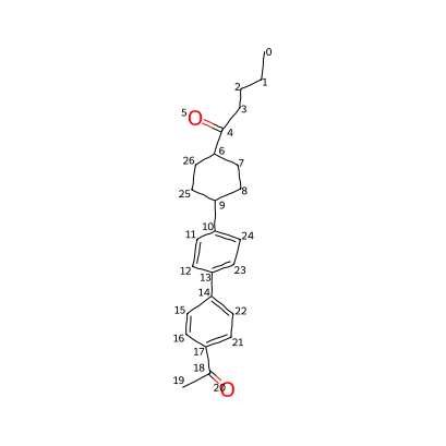 CCCCC(=O)C1CCC(c2ccc(-c3ccc(C(C)=O)cc3)cc2)CC1